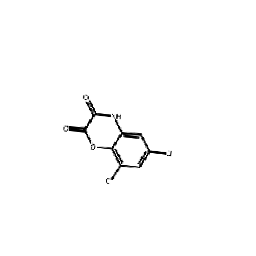 O=c1[nH]c2cc(Cl)cc(Cl)c2oc1=O